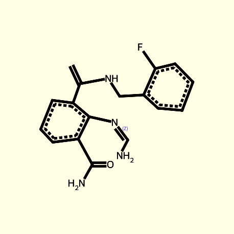 C=C(NCc1ccccc1F)c1cccc(C(N)=O)c1/N=C\N